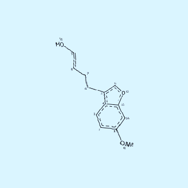 COc1ccc2c(CC/C=C/O)coc2c1